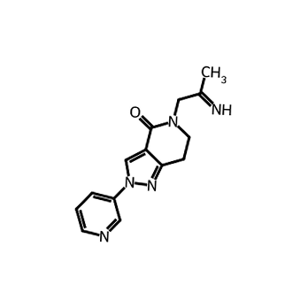 CC(=N)CN1CCc2nn(-c3cccnc3)cc2C1=O